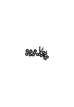 CCCCCCC1(CCCCCC)c2cc(-c3c4ccccc4c(-c4cccc5c4-c4ccccc4C5(c4ccccc4)c4ccccc4)c4ccccc34)ccc2-c2ccc(N(c3ccc(C)c4ccccc34)c3ccc(C)c4ccccc34)cc21